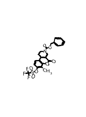 Cc1c(OS(=O)(=O)C(F)(F)F)ccc2c3c(c(=O)oc12)CN(C(=O)OCc1ccccc1)CC3